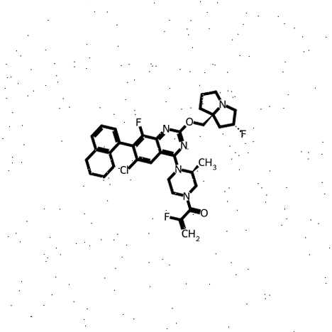 C=C(F)C(=O)N1CCN(c2nc(OC[C@@]34CCCN3C[C@H](F)C4)nc3c(F)c(-c4cccc5c4CCCC5)c(Cl)cc23)[C@@H](C)C1